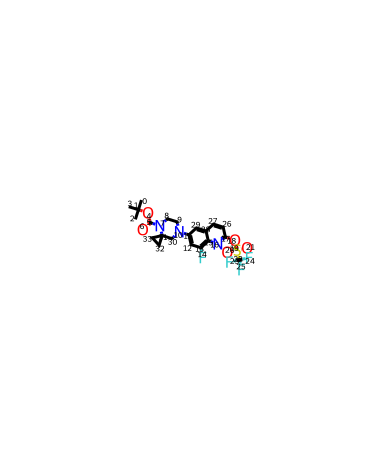 CC(C)(C)OC(=O)N1CCN(c2cc(F)c3nc(OS(=O)(=O)C(F)(F)F)ccc3c2)CC12CC2